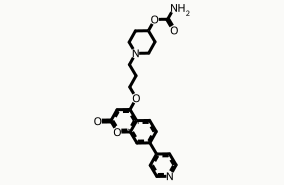 NC(=O)OC1CCN(CCCOc2cc(=O)oc3cc(-c4ccncc4)ccc23)CC1